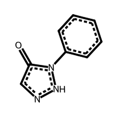 O=c1cn[nH]n1-c1ccccc1